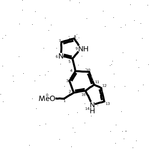 COCc1cc(-c2ncc[nH]2)cc2cc[nH]c12